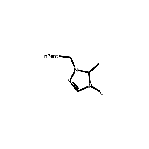 CCCCCCN1N=CN(Cl)C1C